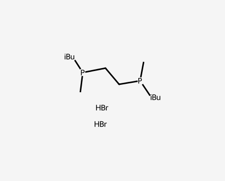 Br.Br.CCC(C)P(C)CCP(C)C(C)CC